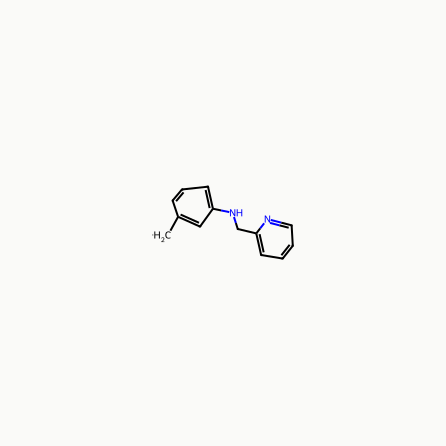 [CH2]c1cccc(NCc2ccccn2)c1